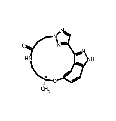 C[C@@H]1CCNC(=O)CCn2ncc(n2)-c2n[nH]c3ccc(cc23)O1